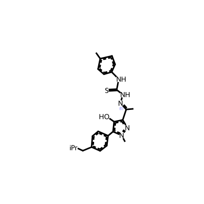 C/C(=N\NC(=S)Nc1ccc(C)cc1)c1nn(C)c(-c2ccc(CC(C)C)cc2)c1O